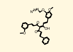 COc1cccc(/C=C/C(=O)/C(C(=O)/C=C/c2ccccc2)=C(O)\C=C\c2ccc(OC)c(OCN=[N+]=[N-])c2)c1